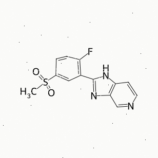 CS(=O)(=O)c1ccc(F)c(-c2nc3cnccc3[nH]2)c1